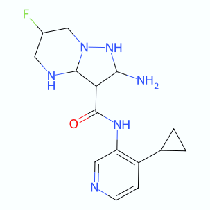 NC1NN2CC(F)CNC2C1C(=O)Nc1cnccc1C1CC1